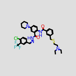 CCN(CC)CCSCc1cccc(C(=O)Nc2ccc(N3CCCCC3)cc2C(=O)N/N=C\c2ccc(Cl)c(C(F)(F)F)c2)c1